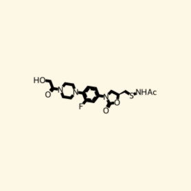 CC(=O)NSC[C@@H]1CN(c2ccc(N3CCN(C(=O)CO)CC3)c(F)c2)C(=O)O1